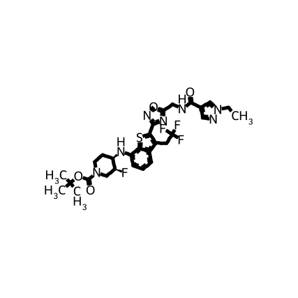 CCn1cc(C(=O)NCc2nc(-c3sc4c(N[C@@H]5CCN(C(=O)OC(C)(C)C)C[C@@H]5F)cccc4c3CC(F)(F)F)no2)cn1